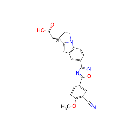 COc1ccc(-c2nc(-c3ccc4c(c3)cc3n4CC[C@@H]3CC(=O)O)no2)cc1C#N